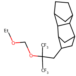 CCOCOC(CC1CC2CC1C1C3CCC(C3)C21)(C(F)(F)F)C(F)(F)F